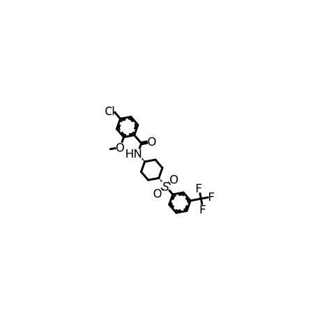 COc1cc(Cl)ccc1C(=O)N[C@H]1CC[C@@H](S(=O)(=O)c2cccc(C(F)(F)F)c2)CC1